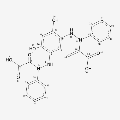 O=C(O)C(=O)N(Nc1cc(NN(C(=O)C(=O)O)c2ccccc2)c(O)cc1O)c1ccccc1